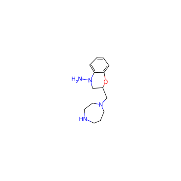 NN1CC(CN2CCCNCC2)Oc2ccccc21